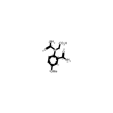 COc1ccc(N(CC(=O)O)C(N)=O)c(C(N)=O)c1